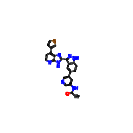 CC(C)C(=O)Nc1cncc(-c2ccc3[nH]nc(-c4nc5c(-c6ccsc6)ccnc5[nH]4)c3c2)c1